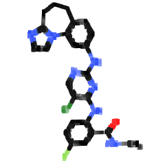 CNC(=O)c1cc(F)ccc1Nc1nc(Nc2ccc3c(c2)-n2ccnc2CCC3)ncc1Cl